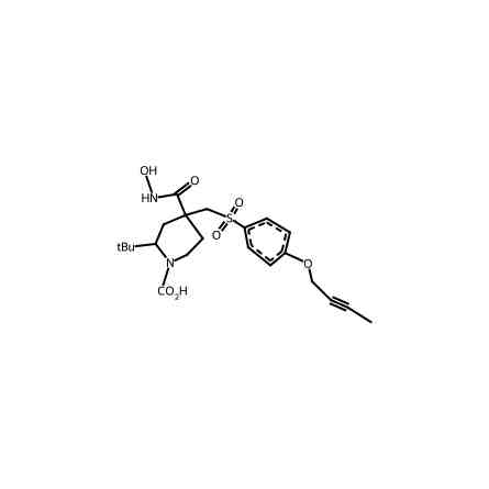 CC#CCOc1ccc(S(=O)(=O)CC2(C(=O)NO)CCN(C(=O)O)C(C(C)(C)C)C2)cc1